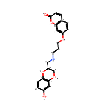 O=c1ccc2ccc(OCCCNC[C@H]3COc4cc(O)ccc4O3)cc2o1